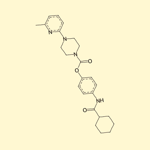 Cc1cccc(N2CCN(C(=O)Oc3ccc(NC(=O)C4CCCCC4)cc3)CC2)n1